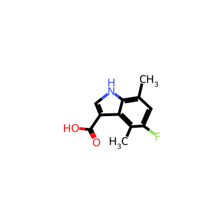 Cc1cc(F)c(C)c2c(C(=O)O)c[nH]c12